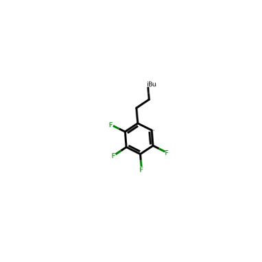 CCC(C)CCc1[c]c(F)c(F)c(F)c1F